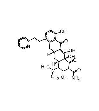 CN(C)[C@@H]1C(O)C(C(N)=O)C(=O)[C@@]2(O)C(O)=C3C(=O)c4c(O)ccc(CCc5ccccn5)c4C[C@H]3C[C@@H]12